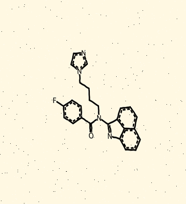 O=C(c1ccc(F)cc1)N(CCCCn1ccnc1)C1=Nc2cccc3cccc1c23